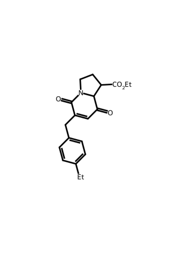 CCOC(=O)C1CCN2C(=O)C(Cc3ccc(CC)cc3)=CC(=O)C12